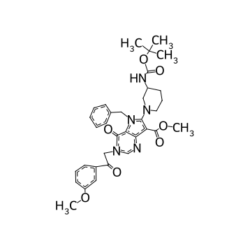 COC(=O)c1c(N2CCCC(NC(=O)OC(C)(C)C)C2)n(Cc2ccccc2)c2c(=O)n(CC(=O)c3cccc(OC)c3)cnc12